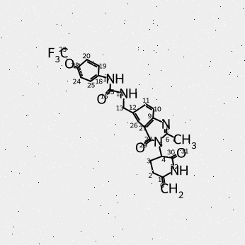 C=C1CCC(n2c(C)nc3ccc(CNC(=O)Nc4ccc(OC(F)(F)F)cc4)cc3c2=O)C(=O)N1